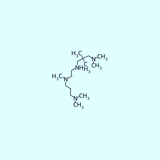 CN(C)CCCN(C)[CH]CNCC(C)(C)CN(C)C